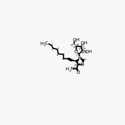 CCCCCCCC#Cc1c(C(N)=O)ncn1C1O[C@H](CO)[C@@H](O)[C@H]1O